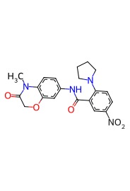 CN1C(=O)COc2cc(NC(=O)c3cc([N+](=O)[O-])ccc3N3CCCC3)ccc21